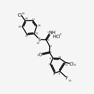 Cl.N=C(CC(=O)c1ccc(F)c(Cl)c1)Sc1ccc(Cl)cc1